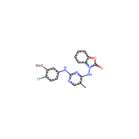 COc1cc(Nc2ncc(C)c(Nn3c(=O)oc4ccccc43)n2)ccc1Cl